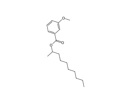 CCCCCCCCC(C)OC(=O)c1cccc(OC)c1